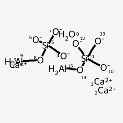 O.[Ca+2].[Ca+2].[Ca+2].[O-][Si]([O-])([O-])[O][AlH2].[O-][Si]([O-])([O-])[O][AlH2]